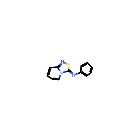 c1ccc(N=c2snc3ccccn23)cc1